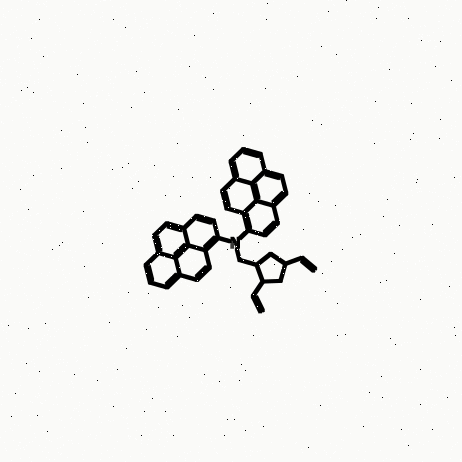 C=CC1CC(C=C)C(CN(c2ccc3ccc4cccc5ccc2c3c45)c2ccc3ccc4cccc5ccc2c3c45)C1